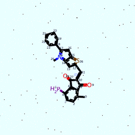 Cc1ccc(P)c2c1C(=O)/C(=C/c1cc3c(cc(-c4ccccc4)n3C)s1)C2=O